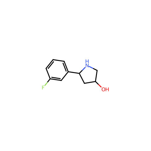 OC1CNC(c2cccc(F)c2)C1